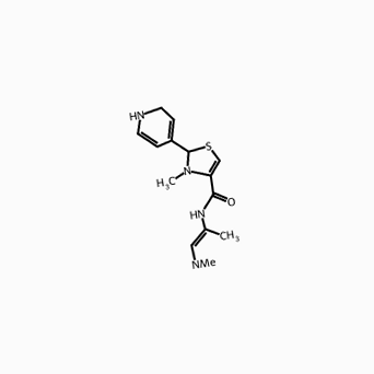 CN/C=C(\C)NC(=O)C1=CSC(C2=CCNC=C2)N1C